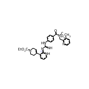 CCOC(=O)N1CC=C(c2ccc[nH]/c2=N\C(=N)Nc2ccc(C(=O)N(C)Cc3ncccc3C)cc2)CC1